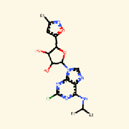 CCc1cc(C2OC(n3cnc4c(NC(CC)CC)nc(Cl)nc43)C(O)C2O)on1